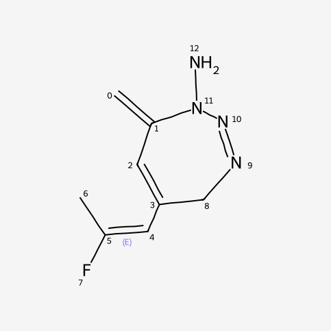 C=C1C=C(/C=C(\C)F)CN=NN1N